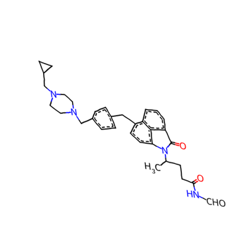 CC(CCC(=O)NC=O)N1C(=O)c2cccc3c(Cc4ccc(CN5CCN(CC6CC6)CC5)cc4)ccc1c23